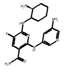 NC(=O)c1cc(F)c(NC2CCCC[C@@H]2N)nc1Nc1cncc(N)c1